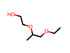 [CH2]COCC(C)OCCO